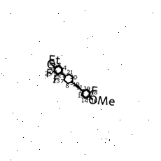 CCOc1ccc(C2CCC(C#Cc3ccc(OC)c(F)c3)CC2)c(F)c1F